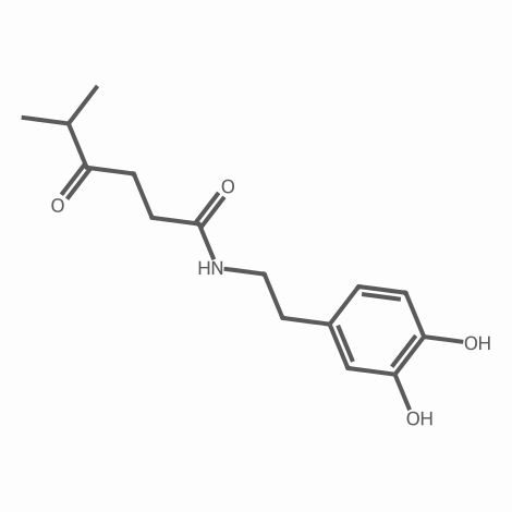 CC(C)C(=O)CCC(=O)NCCc1ccc(O)c(O)c1